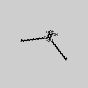 CC(C)CCCCCCCCCCCCCCCOC(=O)C1CC(C(=O)O)C(C(=O)O)CC1C(=O)OCCCCCCCCCCCCCCCC(C)C